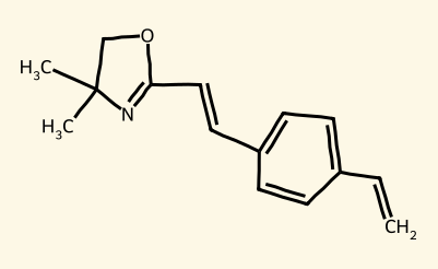 C=Cc1ccc(C=CC2=NC(C)(C)CO2)cc1